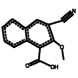 COc1c(C#N)cc2ccccc2c1C(=O)O